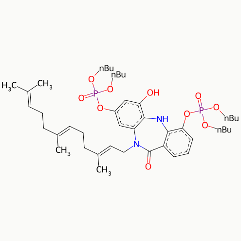 CCCCOP(=O)(OCCCC)Oc1cc(O)c2c(c1)N(C/C=C(\C)CC/C=C(\C)CCC=C(C)C)C(=O)c1cccc(OP(=O)(OCCCC)OCCCC)c1N2